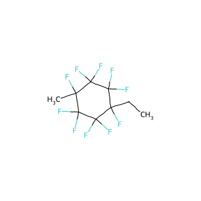 CCC1(F)C(F)(F)C(F)(F)C(C)(F)C(F)(F)C1(F)F